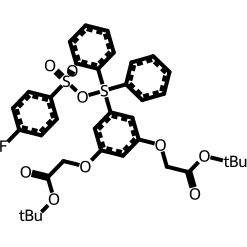 CC(C)(C)OC(=O)COc1cc(OCC(=O)OC(C)(C)C)cc(S(OS(=O)(=O)c2ccc(F)cc2)(c2ccccc2)c2ccccc2)c1